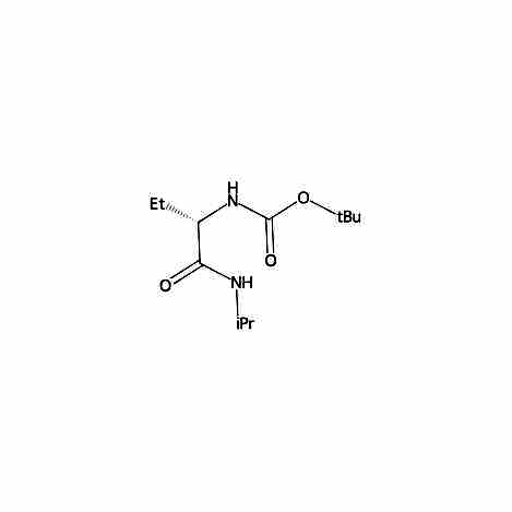 CC[C@H](NC(=O)OC(C)(C)C)C(=O)NC(C)C